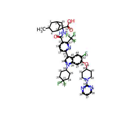 CC1CC2CC(C1)C(NC(=O)c1ccc(-c3cn(C4CCC(F)(F)CC4)c4cc(OC5CCN(c6ncccn6)CC5)c(F)cc34)nc1C(F)(F)F)(C(=O)O)C2